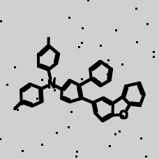 Cc1ccc(N(c2ccc(C)cc2)c2ccc(-c3ccc4oc5ccccc5c4c3)c(-c3ccccc3)c2)cc1